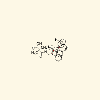 Cc1nc2ccccc2n1[C@H]1C[C@H]2CC[C@@H](C1)N2CCC1(c2cccc(F)c2)CCN(C(=O)C(C)(C)C(=O)O)CC1